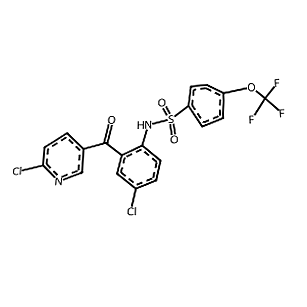 O=C(c1ccc(Cl)nc1)c1cc(Cl)ccc1NS(=O)(=O)c1ccc(OC(F)(F)F)cc1